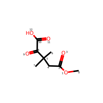 COC(=O)CC(C)(C)C(=O)C(=O)O